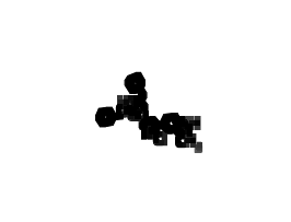 Cc1n[nH]c2ccc(-c3cc(OCC(Cc4ccccc4)NC(=O)OCc4ccccc4)cnc3Cl)cc12